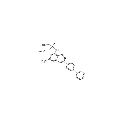 CCCC[C@](C)(CO)Nc1nc(N)nc2cc(-c3ccc(-c4ccncc4)nc3)ncc12